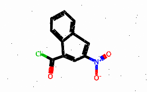 O=C(Cl)c1cc([N+](=O)[O-])cc2ccccc12